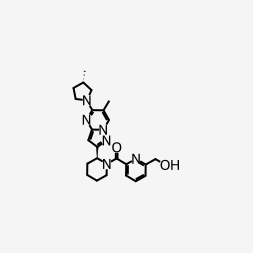 Cc1cn2nc([C@@H]3CCCCN3C(=O)c3cccc(CO)n3)cc2nc1N1CC[C@H](C)C1